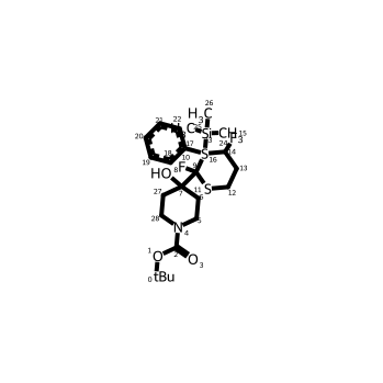 CC(C)(C)OC(=O)N1CCC(O)(C2(F)SCCC(F)S2(c2ccccc2)[Si](C)(C)C)CC1